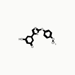 O=C1C=C(O)CC(c2cnc(Oc3ccc(OC(F)(F)F)cc3)s2)C1